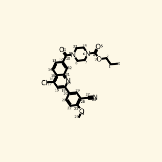 CCCOC(=O)N1CCN(C(=O)c2ccc3c(Cl)cc(-c4ccc(OC)c(C#N)c4)nc3c2)CC1